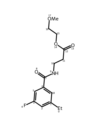 CCc1cc(F)cc(C(=O)NCCC(=O)OCCOC)c1